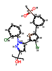 CC(C)(O)c1cc(-c2sc(-c3cccc(S(C)(=O)=O)c3)cc2Br)n(-c2ccccc2Cl)n1